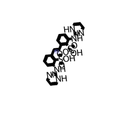 O=S(=O)(O)c1c(/C=C/c2cccc(NN3N=CC=CN3)c2S(=O)(=O)O)cccc1NN1N=CC=CN1